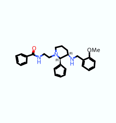 COc1ccccc1CN[C@@H]1CCCN(CCNC(=O)c2ccccc2)[C@@H]1c1ccccc1